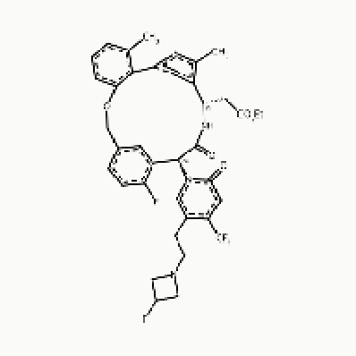 CCOC(=O)C[C@@H]1NC(=O)[C@@H](n2cc(CCN3CC(F)C3)c(C(F)(F)F)cc2=O)c2cc(ccc2F)COc2cccc(C)c2-c2cc1c(C)s2